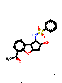 CC(=O)c1cccc2c1OC1CC(O)C(NS(=O)(=O)c3ccccc3)C21